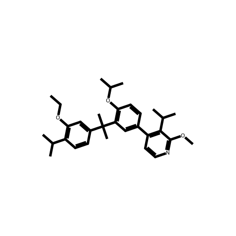 CCOc1cc(C(C)(C)c2cc(-c3ccnc(OC)c3C(C)C)ccc2OC(C)C)ccc1C(C)C